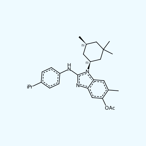 CC(=O)Oc1cc2nc(Nc3ccc(C(C)C)cc3)n([C@H]3C[C@@H](C)CC(C)(C)C3)c2cc1C